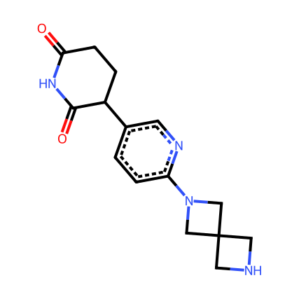 O=C1CCC(c2ccc(N3CC4(CNC4)C3)nc2)C(=O)N1